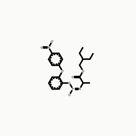 CCC(CC)COC(=O)C(C)/N=[P+](/[O-])Oc1ccccc1Oc1ccc([N+](=O)[O-])cc1